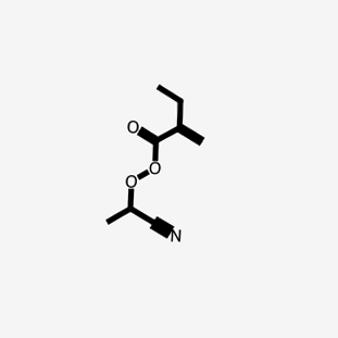 C=C(CC)C(=O)OOC(C)C#N